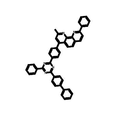 Cc1cc(-c2ccc(-c3nc(-c4ccccc4)nc(-c4ccc(-c5ccccc5)cc4)n3)cc2)c2ccc3ccc(-c4ccccc4)nc3c2n1